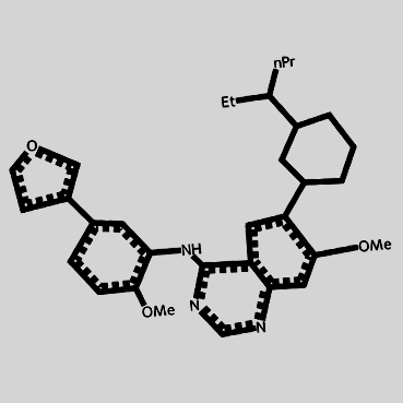 CCCC(CC)C1CCCC(c2cc3c(Nc4cc(-c5ccoc5)ccc4OC)ncnc3cc2OC)C1